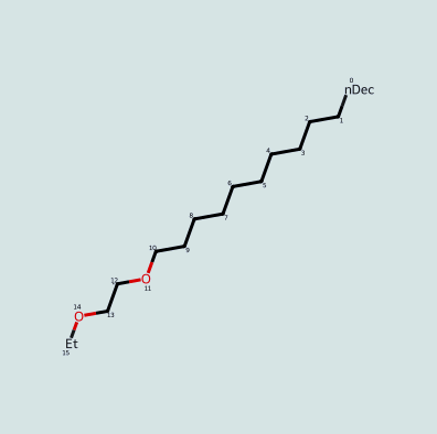 CCCCCCCCCCCCCCCCCCCCO[CH]COCC